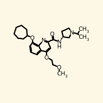 COCCOc1cc(C(=O)N[C@H]2CCN(C(C)C)C2)nc2c(OC3CCCCCC3)cccc12